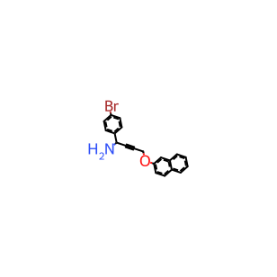 NC(C#CCOc1ccc2ccccc2c1)c1ccc(Br)cc1